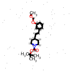 COCOc1cccc(/C=C/C2CCN(C(=O)OC(C)(C)C)CC2)c1